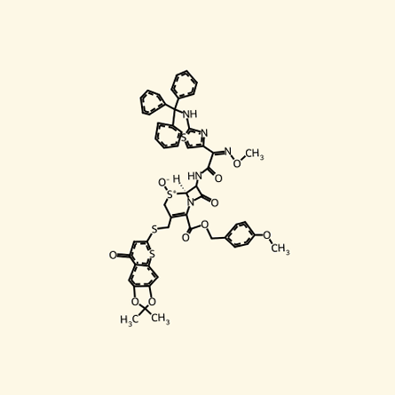 CO/N=C(\C(=O)NC1C(=O)N2C(C(=O)OCc3ccc(OC)cc3)=C(CSc3cc(=O)c4cc5c(cc4s3)OC(C)(C)O5)C[S+]([O-])[C@@H]12)c1csc(NC(c2ccccc2)(c2ccccc2)c2ccccc2)n1